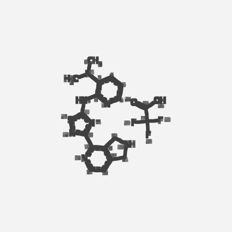 CN(C)c1cccnc1Nc1nc(-c2nccc3c2CNC3)ns1.O=C(O)C(F)(F)F